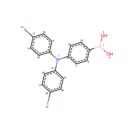 OB(O)c1ccc(N(c2ccc(I)cc2)c2ccc(I)cc2)cc1